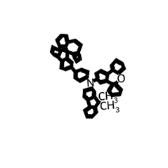 CC1(C)c2ccccc2-c2ccc(N(c3ccc(-c4ccc5c(c4)C4(c6ccccc6C=Cc6ccccc64)c4ccccc4-5)cc3)c3ccc4c(c3)-c3ccccc3Oc3ccccc3-4)cc21